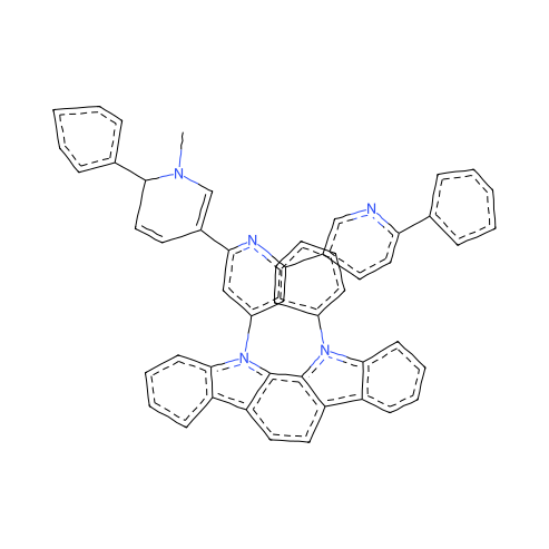 CN1C=C(c2cc(-n3c4ccccc4c4ccc5c6ccccc6n(-c6ccccc6)c5c43)cc(-c3ccc(-c4ccccc4)nc3)n2)C=CC1c1ccccc1